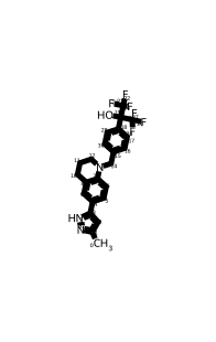 Cc1cc(-c2ccc3c(c2)CCCN3Cc2ccc(C(O)(C(F)(F)F)C(F)(F)F)cc2)[nH]n1